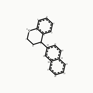 c1ccc2c(c1)SCCC2c1ccc2ccccc2c1